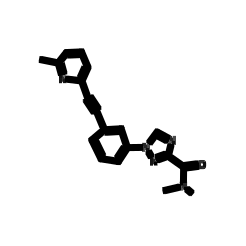 Cc1cccc(C#Cc2cccc(-n3cnc(C(=O)N(C)C)n3)c2)n1